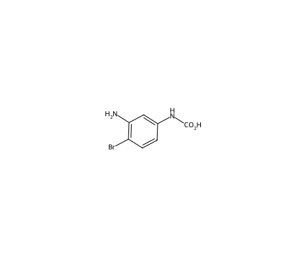 Nc1cc(NC(=O)O)ccc1Br